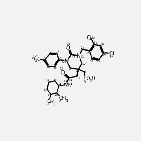 Cc1ccc(N2CC(CC(=O)O)(CC(=O)NC3CCCC(C)C3C)CN(Cc3ccc(Cl)cc3Cl)C2=O)cc1